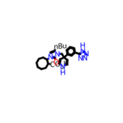 CCCCc1cn(C2CCCCCCC2C(=O)O)c(=O)n1CC1(c2cccc(-c3nnn[nH]3)c2)C=CNC=C1